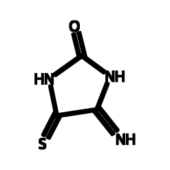 N=C1NC(=O)NC1=S